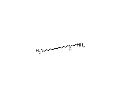 NCCCCCCCCCCCCNCCCN